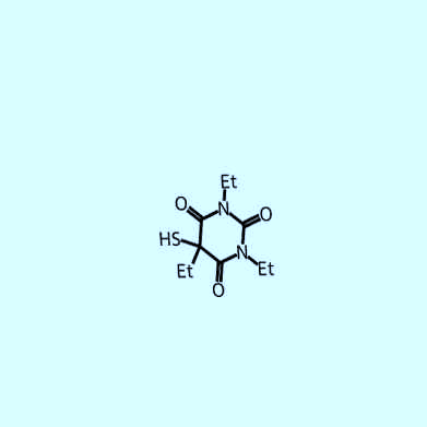 CCN1C(=O)N(CC)C(=O)C(S)(CC)C1=O